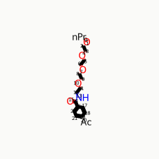 CCCOCCOCCOCCOCCNC(=O)c1ccc(C(C)=O)cc1